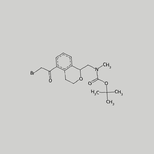 CN(CC1OCCc2c(C(=O)CBr)cccc21)C(=O)OC(C)(C)C